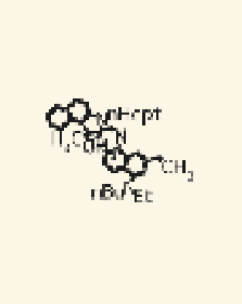 C=Cc1cc(N(CC)CCCC)c2ccc3c(c2c1)N=CC1(O3)N(CCCCCCC)c2ccc3ccccc3c2C1(C)C